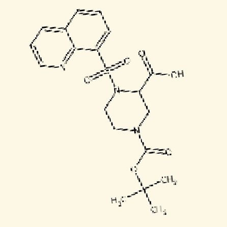 CC(C)(C)OC(=O)N1CCN(S(=O)(=O)c2cccc3cccnc23)C(C(=O)O)C1